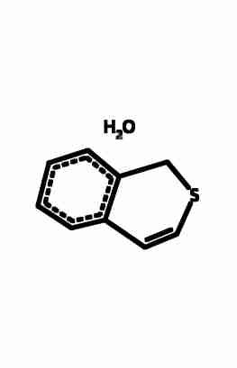 C1=Cc2ccccc2CS1.O